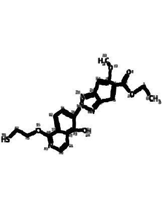 CCOC(=O)c1cc2nn(-c3ccc4c(OCCS)nccc4c3O)nc2cc1OC